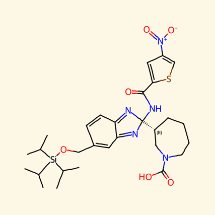 CC(C)[Si](OCc1ccc2c(c1)=NC(NC(=O)c1cc([N+](=O)[O-])cs1)([C@@H]1CCCCN(C(=O)O)C1)N=2)(C(C)C)C(C)C